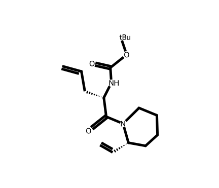 C=CC[C@H](NC(=O)OC(C)(C)C)C(=O)N1CCCC[C@@H]1C=C